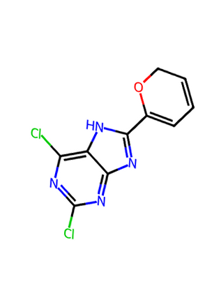 Clc1nc(Cl)c2[nH]c(C3=CC=CCO3)nc2n1